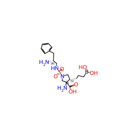 N[C@@H](CNS(=O)(=O)N1C[C@H](CCCB(O)O)[C@](N)(C(=O)O)C1)Cc1ccccc1